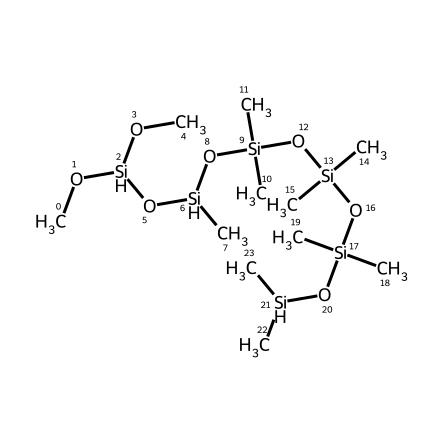 CO[SiH](OC)O[SiH](C)O[Si](C)(C)O[Si](C)(C)O[Si](C)(C)O[SiH](C)C